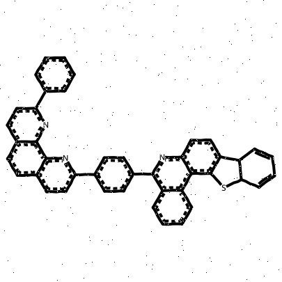 C1=CC2Sc3c(ccc4nc(-c5ccc(-c6ccc7ccc8ccc(-c9ccccc9)nc8c7n6)cc5)c5ccccc5c34)C2C=C1